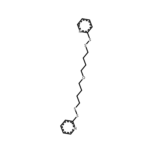 c1ccc(SSCCCCOCCCCSSc2ccccn2)nc1